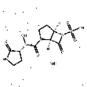 O=C1NCC[C@H]1N(O)C(=O)N1CC[C@@H]2[C@H]1C(=O)N2S(=O)(=O)O.[NaH]